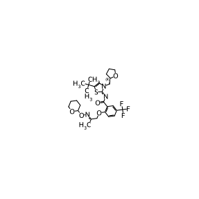 CC(COc1ccc(C(F)(F)F)cc1C(=O)N=c1sc(C(C)(C)C)cn1C[C@H]1CCCO1)=NOC1CCCCO1